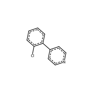 Clc1ccccc1-c1ccncc1